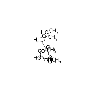 CCC(O)C(C)C1OC1CC(C)/C=C/C=C(\C)C1OC(=O)CC(O)/C=C/C(C)(O)C(OC(C)=O)/C=C/C1C